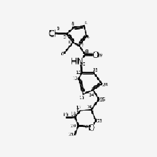 Cc1c(Cl)cccc1C(=O)Nc1ccc(CC2[C]C(C)C(C)OC2)cc1